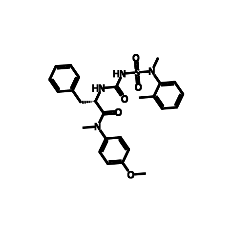 COc1ccc(N(C)C(=O)[C@H](Cc2ccccc2)NC(=O)NS(=O)(=O)N(C)c2ccccc2C)cc1